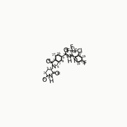 O=C1CCC(N2Cc3cc(C(=O)N[C@H](c4ncc(F)cc4Cl)C(F)(F)F)ccc3C2=O)C(=O)N1